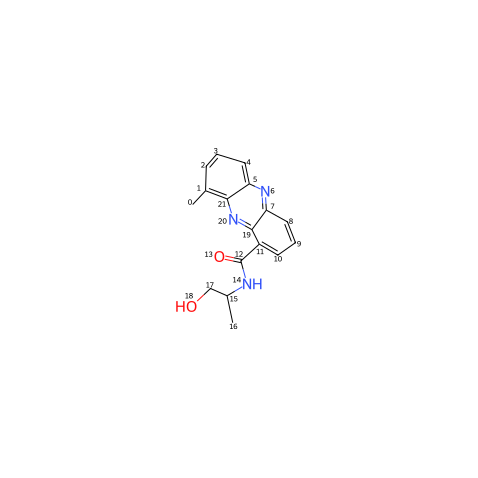 Cc1cccc2nc3cccc(C(=O)NC(C)CO)c3nc12